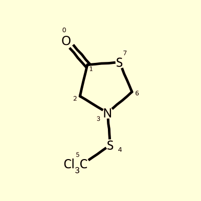 O=C1CN(SC(Cl)(Cl)Cl)CS1